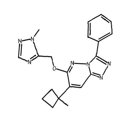 Cn1ncnc1COc1nn2c(-c3ccccc3)nnc2cc1C1(C)CCC1